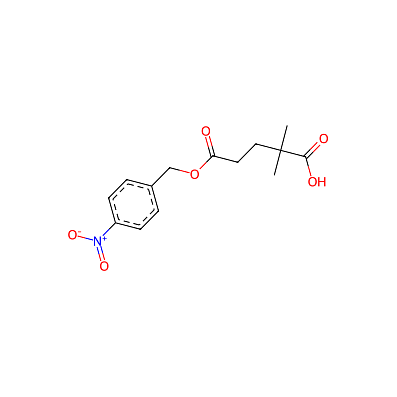 CC(C)(CCC(=O)OCc1ccc([N+](=O)[O-])cc1)C(=O)O